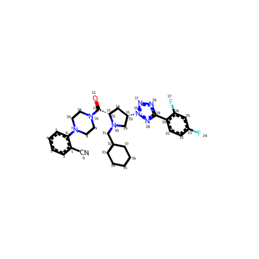 N#Cc1ccccc1N1CCN(C(=O)[C@@H]2C[C@H](n3nnc(-c4ccc(F)cc4F)n3)CN2CC2CCCCC2)CC1